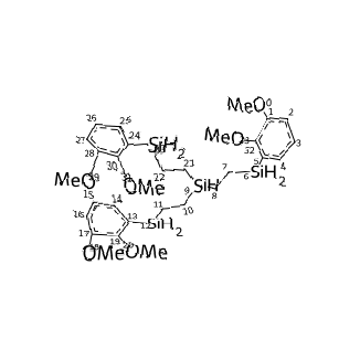 COc1cccc([SiH2]CC[SiH](CC[SiH2]c2cccc(OC)c2OC)CC[SiH2]c2cccc(OC)c2OC)c1OC